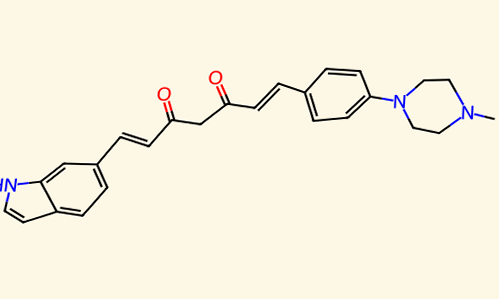 CN1CCN(c2ccc(C=CC(=O)CC(=O)C=Cc3ccc4cc[nH]c4c3)cc2)CC1